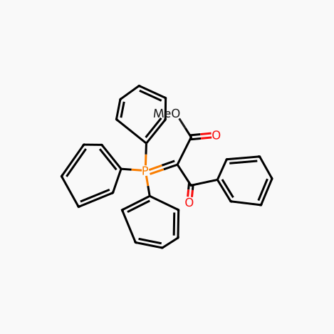 COC(=O)C(C(=O)c1ccccc1)=P(c1ccccc1)(c1ccccc1)c1ccccc1